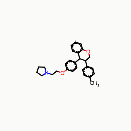 Cc1ccc(C2COc3c[c]ccc3C2c2ccc(OCCN3CCCC3)cc2)cc1